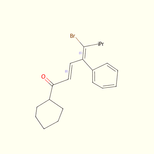 CC(C)/C(Br)=C(/C=C/C(=O)C1CCCCC1)c1ccccc1